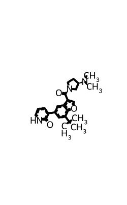 CN(C)[C@@H]1CCN(C(=O)c2coc3c(C(C)(C)C)cc(-c4ccc[nH]c4=O)cc23)C1